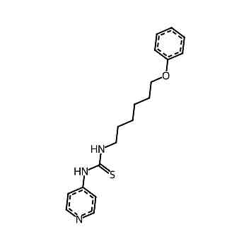 S=C(NCCCCCCOc1ccccc1)Nc1ccncc1